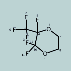 FC(F)(F)C1(F)OCCOC1(F)F